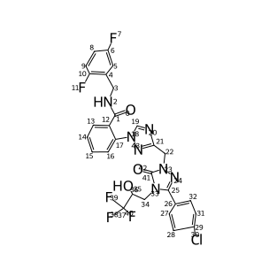 O=C(NCc1cc(F)ccc1F)c1ccccc1-n1cnc(Cn2nc(-c3ccc(Cl)cc3)n(CC(O)C(F)(F)F)c2=O)n1